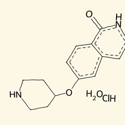 Cl.O.O=c1[nH]ccc2cc(OC3CCNCC3)ccc12